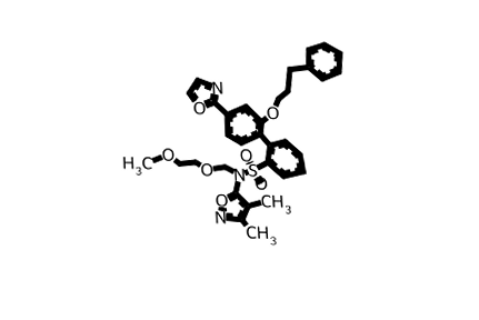 COCCOCN(c1onc(C)c1C)S(=O)(=O)c1ccccc1-c1ccc(-c2ncco2)cc1OCCCc1ccccc1